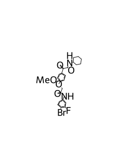 COc1cc(C(=O)C(=O)NC2CCCCC2)ccc1OCC(=O)Nc1ccc(Br)c(F)c1